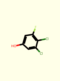 Oc1cc(F)c(Cl)c(Cl)c1